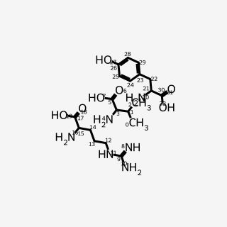 CC(C)C(N)C(=O)O.N=C(N)NCCCC(N)C(=O)O.NC(Cc1ccc(O)cc1)C(=O)O